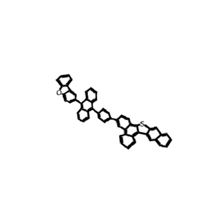 c1ccc2cc3c(cc2c1)sc1c2ccc(-c4ccc(-c5c6ccccc6c(-c6ccc7oc8ccccc8c7c6)c6ccccc56)cc4)cc2c2ccccc2c31